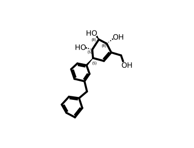 OCC1=C[C@@H](c2cccc(Cc3ccccc3)c2)[C@H](O)[C@@H](O)[C@@H]1O